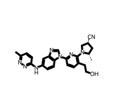 Cc1ccc(Nc2ccc3c(c2)ncn3-c2ccc(CCO)c(N3C[C@H](C#N)C[C@@H]3C)n2)nn1